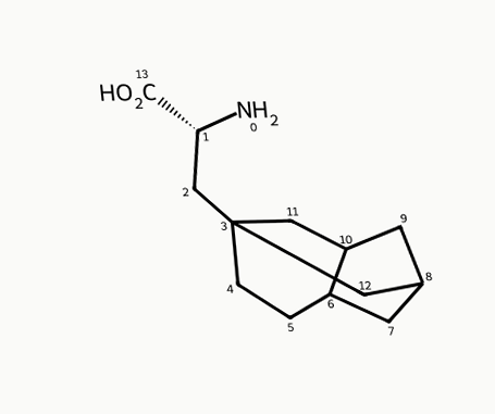 N[C@H](CC12CCC3CC(CC3C1)C2)C(=O)O